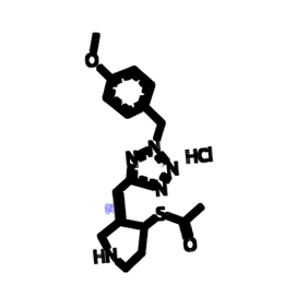 COc1ccc(Cn2nnc(/C=C3/CNCCC3SC(C)=O)n2)cc1.Cl